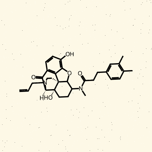 C=CCN1CC[C@]23c4c5ccc(O)c4OC2C(N(C)C(=O)CCc2ccc(C)c(C)c2)CC[C@@]3(O)[C@H]1C5=O